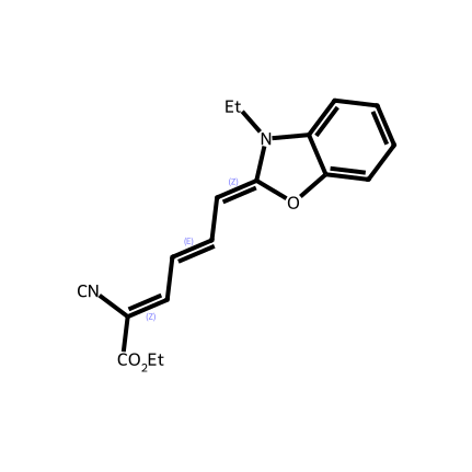 [C-]#[N+]\C(=C/C=C/C=C1\Oc2ccccc2N1CC)C(=O)OCC